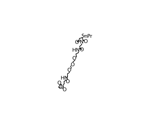 CCCSC1CC(=O)N(CCC(=O)NCCCOCCOCCOCCCNC(=O)CCN2C(=O)C=CC2=O)C1=O